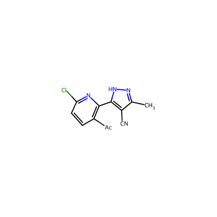 CC(=O)c1ccc(Cl)nc1-c1[nH]nc(C)c1C#N